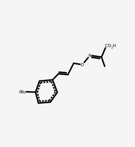 CC(=NOCC=Cc1cccc(C(C)(C)C)c1)C(=O)O